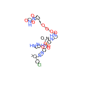 CC1(C)CCC(CN2CCN(c3ccc(C(=O)NS(=O)(=O)c4ccc(NCC5CCCN(C(=O)COCCOCCOCC#Cc6cccc7c6CN(C6CCC(=O)NC6=O)C7=O)C5)c([N+](=O)[O-])c4)c(Oc4cnc5[nH]ccc5c4)c3)CC2)=C(c2ccc(Cl)cc2)C1